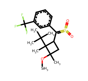 CC(C)(C)C1(C)C(C(c2cccc(C(F)(F)F)c2)=S(=O)=O)CC1(C)O[SiH3]